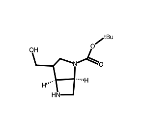 CC(C)(C)OC(=O)N1CC(CO)[C@@H]2NC[C@@H]21